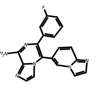 Nc1nc(-c2cccc(F)c2)c(-c2ccc3nccn3c2)n2ccnc12